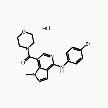 Cl.Cn1ccc2c(Nc3ccc(Br)cc3)ncc(C(=O)N3CCOCC3)c21